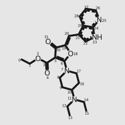 CCOC(=O)C1=C(N2CCC(N(CC)CC)CC2)O/C(=C\c2c[nH]c3ncccc23)C1=O